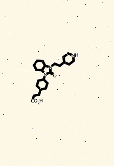 O=C(O)CCC1CCC(N2C(=O)N(CCC3CCNCC3)C3CCCCC32)CC1